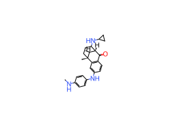 CNc1ccc(Nc2ccc3c(c2)[C@]2(C)CCC(NC4CC4)[C@H](C3=O)[C@@H]2C)cc1